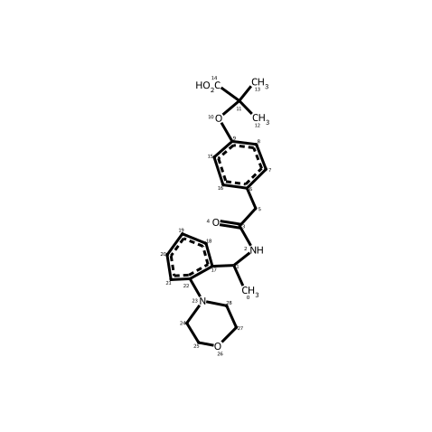 CC(NC(=O)Cc1ccc(OC(C)(C)C(=O)O)cc1)c1ccccc1N1CCOCC1